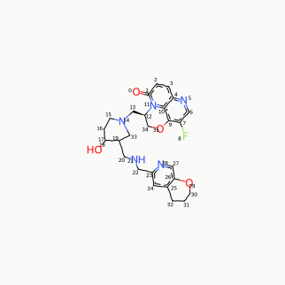 O=c1ccc2ncc(F)c3c2n1[C@H](CN1CCC(O)C(CNCc2cc4c(cn2)OCCC4)C1)CO3